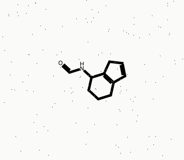 O=CNC1CCCC2=C1CC=C2